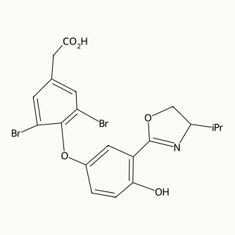 CC(C)C1COC(c2cc(Oc3c(Br)cc(CC(=O)O)cc3Br)ccc2O)=N1